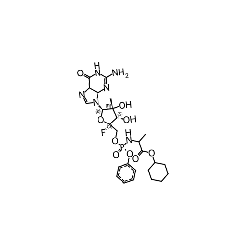 CC(NP(=O)(OC[C@@]1(F)O[C@@H](N2C=NC3C(=O)NC(N)=NC32)[C@](C)(O)[C@@H]1O)Oc1ccccc1)C(=O)OC1CCCCC1